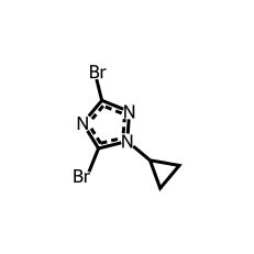 Brc1nc(Br)n(C2CC2)n1